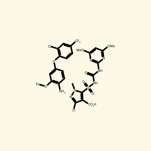 CCOc1cc(Oc2ccc(C(F)(F)F)cc2Cl)ccc1[N+](=O)[O-].COc1cc(OC)nc(NC(=O)NS(=O)(=O)c2c(C(=O)O)c(Cl)nn2C)n1